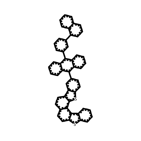 c1cc(-c2cccc3ccccc23)cc(-c2c3ccccc3c(-c3ccc4sc5c(ccc6ccc7sc8ccccc8c7c65)c4c3)c3ccccc23)c1